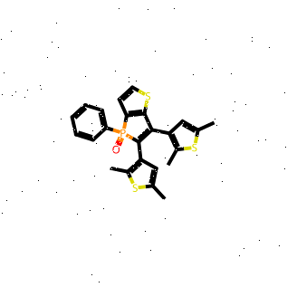 Cc1cc(C2=C(c3cc(C)sc3C)P(=O)(c3ccccc3)c3ccsc32)c(C)s1